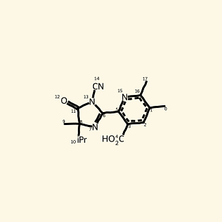 Cc1cc(C(=O)O)c(C2=NC(C)(C(C)C)C(=O)N2C#N)nc1C